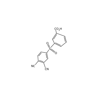 N#Cc1ccc(S(=O)(=O)c2cccc(C(=O)O)c2)cc1C#N